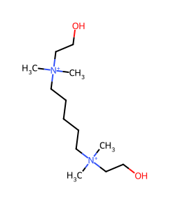 C[N+](C)(CCO)CCCCC[N+](C)(C)CCO